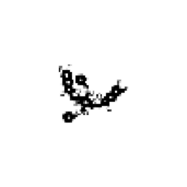 O=C1C(=Cc2cc3c(C(=O)OCc4ccccc4)c4sc(C=C5C(=O)c6cc7cc(F)c(F)cc7cc6C5=O)cc4c(C(=O)OCc4ccccc4)c3s2)C(=O)c2cc3cc(F)c(F)cc3cc21